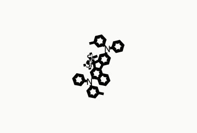 Cc1cccc(N(c2ccccc2)c2ccc3c(c2)C([Si](C)(C)C)([Si](C)(C)C)c2cc(N(c4ccccc4)c4cccc(C)c4)c4ccccc4c2-3)c1